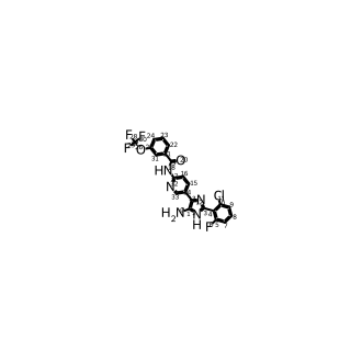 Nc1[nH]c(-c2c(F)cccc2Cl)nc1-c1ccc(NC(=O)c2cccc(OC(F)(F)F)c2)nc1